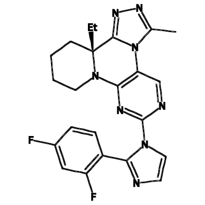 CC[C@]12CCCCN1c1nc(-n3ccnc3-c3ccc(F)cc3F)ncc1-n1c(C)nnc12